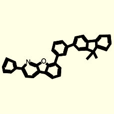 CC1(C)c2ccccc2-c2ccc(-c3cccc(-c4cccc5c4oc4nc(-c6ccccc6)ccc45)c3)cc21